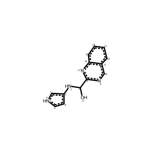 OC(Nc1cc[nH]c1)c1ncc2ccccc2n1